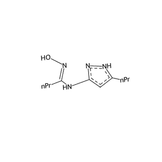 CCCC(=NO)Nc1cc(CCC)[nH]n1